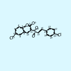 O=c1oc2ccc(Cl)cc2cc1S(=O)(=O)/C=C/c1ccc(Cl)cc1